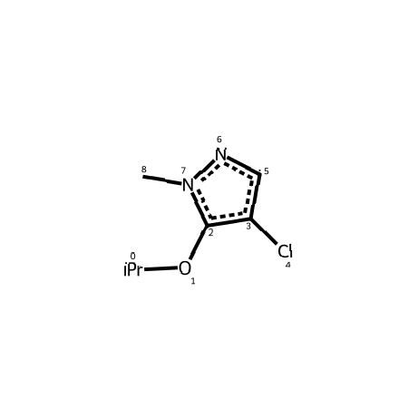 CC(C)Oc1c(Cl)[c]nn1C